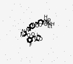 CCNS(=O)(=O)N[C@@H]1CC[C@](O)(CN2CCC3(CC2)CN(c2ncncc2Oc2ccc(F)cc2C(=O)N2[C@H](C)COC[C@H]2C)C3)OC1